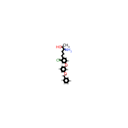 CC(O)C(N)CCCc1ccc(Oc2cccc(OCc3ccccc3)c2)cc1Cl